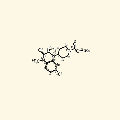 C[C@@H]1C(=O)N(C)c2ccc(Cl)nc2N1C1CCN(C(=O)OC(C)(C)C)CC1